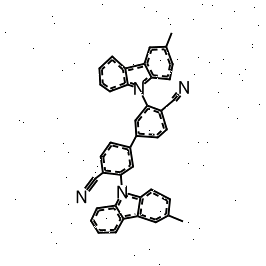 Cc1ccc2c(c1)c1ccccc1n2-c1cc(-c2ccc(C#N)c(-n3c4ccccc4c4cc(C)ccc43)c2)ccc1C#N